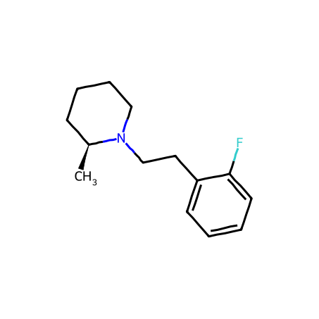 C[C@H]1CCCCN1CCc1ccccc1F